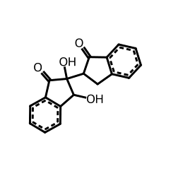 O=C1c2ccccc2CC1C1(O)C(=O)c2ccccc2C1O